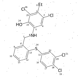 CCc1c(Cl)cc(NCc2ccccc2Sc2ccc(Cl)c(Cl)c2)c(O)c1Cl